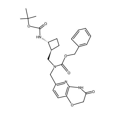 CC(C)(C)OC(=O)N[C@@H]1CC[C@H]1CN(Cc1ccc2c(n1)NC(=O)CO2)C(=O)OCc1ccccc1